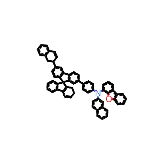 C1=CC2=C(CC1)C1(c3ccccc32)c2ccc(C3C=Cc4ccccc4C3)cc2-c2ccc(-c3ccc(N(c4ccc5ccccc5c4)c4cccc5c4oc4ccccc45)cc3)cc21